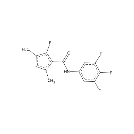 Cc1cn(C)c(C(=O)Nc2cc(F)c(F)c(F)c2)c1F